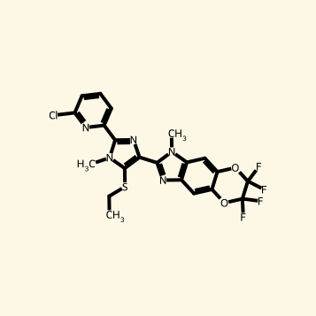 CCSc1c(-c2nc3cc4c(cc3n2C)OC(F)(F)C(F)(F)O4)nc(-c2cccc(Cl)n2)n1C